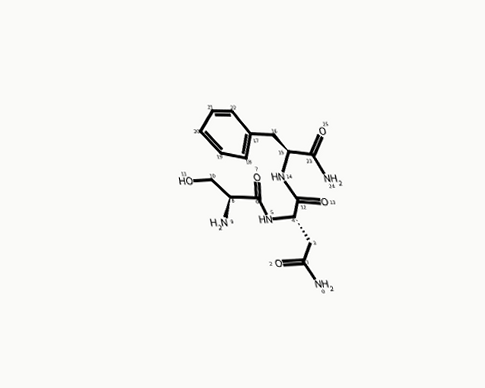 NC(=O)C[C@H](NC(=O)[C@@H](N)CO)C(=O)N[C@@H](Cc1ccccc1)C(N)=O